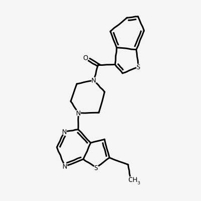 CCc1cc2c(N3CCN(C(=O)c4csc5ccccc45)CC3)ncnc2s1